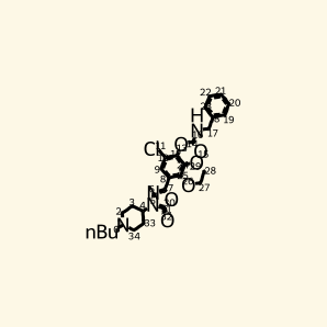 CCCCN1CCC(n2nc(-c3cc(Cl)c(OC(=O)NCc4ccccc4)c4c3OCCO4)oc2=O)CC1